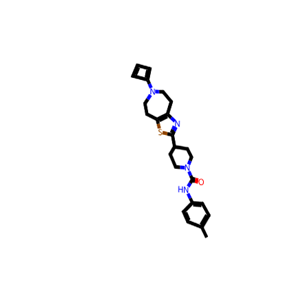 Cc1ccc(NC(=O)N2CCC(c3nc4c(s3)CCN(C3=CC=C3)CC4)CC2)cc1